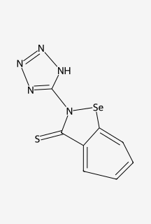 S=c1c2ccccc2[se]n1-c1nnn[nH]1